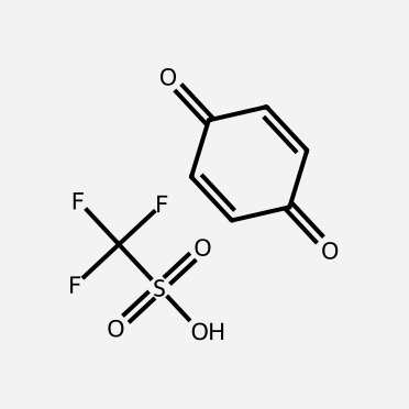 O=C1C=CC(=O)C=C1.O=S(=O)(O)C(F)(F)F